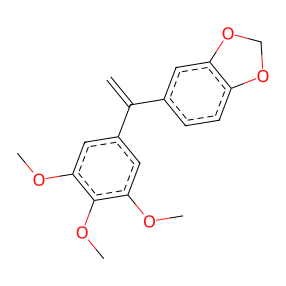 C=C(c1ccc2c(c1)OCO2)c1cc(OC)c(OC)c(OC)c1